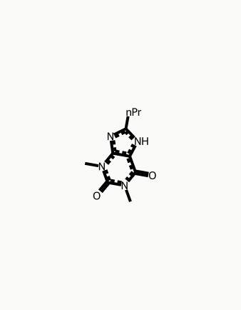 [CH2]CCc1nc2c([nH]1)c(=O)n(C)c(=O)n2C